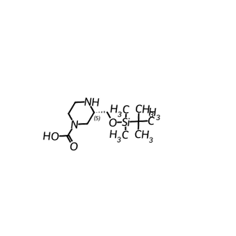 CC(C)(C)[Si](C)(C)OC[C@@H]1CN(C(=O)O)CCN1